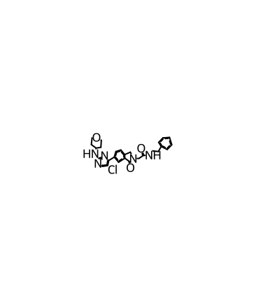 O=C(CN1Cc2ccc(-c3nc(NC4CCOCC4)ncc3Cl)cc2C1=O)NCCc1ccccc1